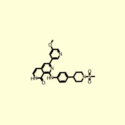 COc1cncc(-c2cc3cc[nH]c(=O)c3c(Nc3ccc(C4CCN(S(C)(=O)=O)CC4)cc3)n2)c1